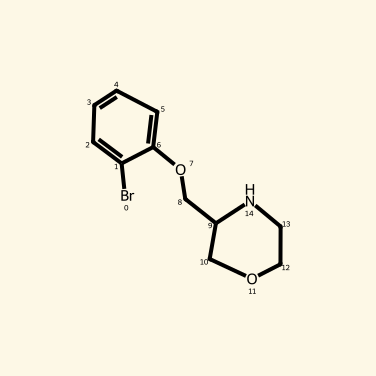 Brc1ccccc1OCC1COCCN1